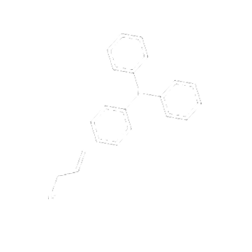 C=CCBr.c1ccc(P(c2ccccc2)c2ccccc2)cc1